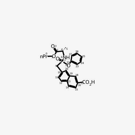 CCCOC(=O)[C@H](C)NP(=O)(Cc1ccc2ccc(C(=O)O)cc2c1)Oc1ccccc1